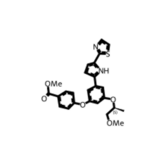 COC[C@H](C)Oc1cc(Oc2ccc(C(=O)OC)cc2)cc(-c2ccc(-c3nccs3)[nH]2)c1